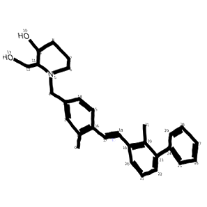 Cc1cc(CN2CCCC(O)C2CO)ccc1/C=C/c1cccc(-c2ccccc2)c1C